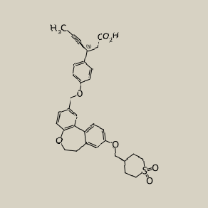 CC#C[C@@H](CC(=O)O)c1ccc(OCc2ccc3c(c2)-c2ccc(OCC4CCS(=O)(=O)CC4)cc2CCO3)cc1